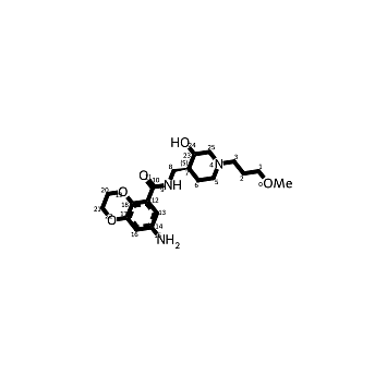 COCCCN1CC[C@@H](CNC(=O)c2cc(N)cc3c2OCCO3)C(O)C1